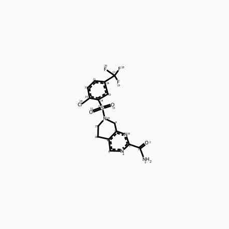 NC(=O)c1n[c]c2c(n1)CN(S(=O)(=O)c1cc(C(F)(F)F)ccc1Cl)CC2